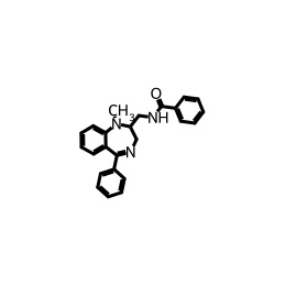 CN1c2ccccc2C(c2ccccc2)=NCC1CNC(=O)c1ccccc1